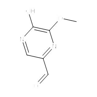 COc1nc(C=O)cnc1O